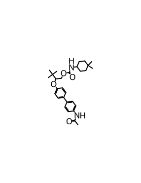 CC(=O)Nc1ccc(-c2ccc(OC(COC(=O)NC3CCC(C)(C)CC3)C(C)(C)C)cc2)cc1